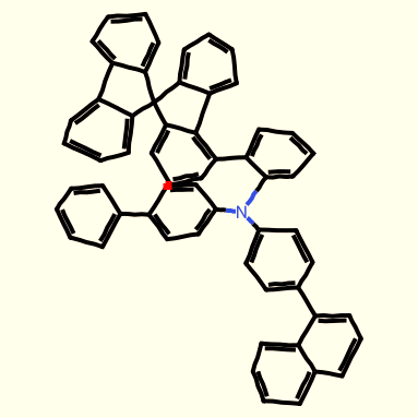 c1ccc(-c2ccc(N(c3ccc(-c4cccc5ccccc45)cc3)c3ccccc3-c3cccc4c3-c3ccccc3C43c4ccccc4-c4ccccc43)cc2)cc1